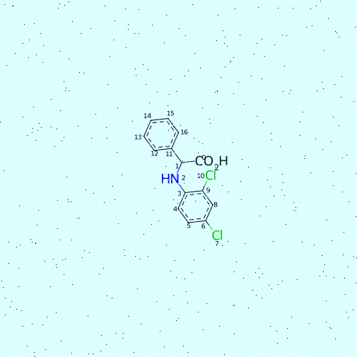 O=C(O)C(Nc1ccc(Cl)cc1Cl)c1ccccc1